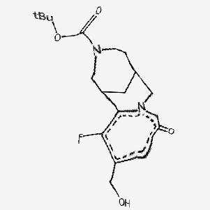 CC(C)(C)OC(=O)N1CC2CC(C1)c1c(F)c(CO)cc(=O)n1C2